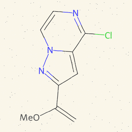 C=C(OC)c1cc2c(Cl)nccn2n1